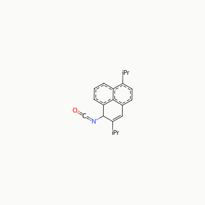 CC(C)C1=Cc2ccc(C(C)C)c3cccc(c23)C1N=C=O